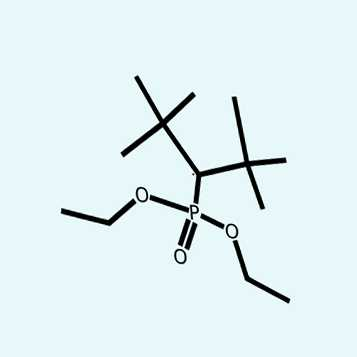 CCOP(=O)(OCC)[C](C(C)(C)C)C(C)(C)C